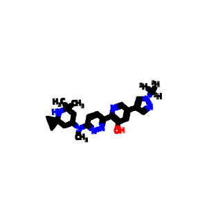 [2H]C([2H])([2H])n1cc(-c2cnc(-c3ccc(N(C)C4CC(C)(C)NC5(CC5)C4)nn3)c(O)c2)cn1